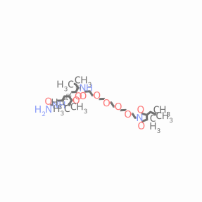 CC(C)[C@H](NC(=O)CCOCCOCCOCCOCCN1C(=O)CC(CC(C)(C)C)C1=O)C(=O)C[C@@H](CCCNC(N)=O)C(=O)C(C)(C)C